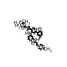 CN1CCN(CCC(=O)Nc2cc(Nc3cc(-c4cc(F)ccc4Cl)nnc3C3CN(C(=O)OC(C)(C)C)C3)ccn2)CC1